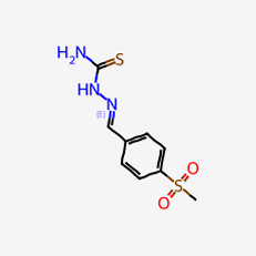 CS(=O)(=O)c1ccc(/C=N/NC(N)=S)cc1